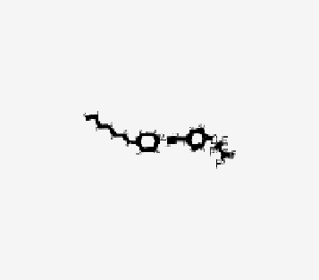 CCCCCCC[C@H]1CC[C@H](C#Cc2ccc(OC(F)(F)C(F)F)cc2)CC1